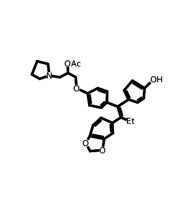 CCC(=C(c1ccc(O)cc1)c1ccc(OCC(CN2CCCC2)OC(C)=O)cc1)c1ccc2c(c1)OCO2